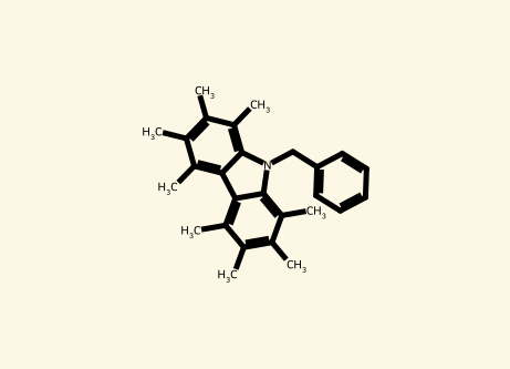 Cc1c(C)c(C)c2c(c1C)c1c(C)c(C)c(C)c(C)c1n2Cc1ccccc1